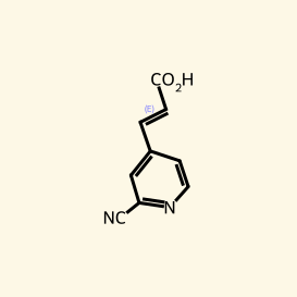 N#Cc1cc(/C=C/C(=O)O)ccn1